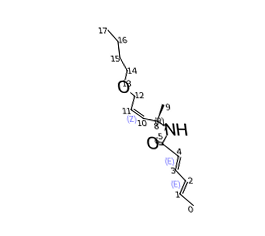 C/C=C/C=C/C(=O)N[C@H](C)/C=C\COCCCC